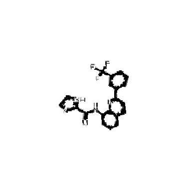 O=C(Nc1cccc2ccc(-c3cccc(C(F)(F)F)c3)nc12)c1ncc[nH]1